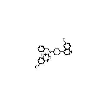 O=C(Nc1ccc(Cl)cc1F)N(Cc1ccccc1)C1CCC(c2ccnc3ccc(F)cc23)CC1